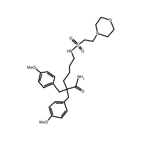 COc1ccc(CC(CCCCNS(=O)(=O)CCN2CCOCC2)(Cc2ccc(OC)cc2)C(N)=O)cc1